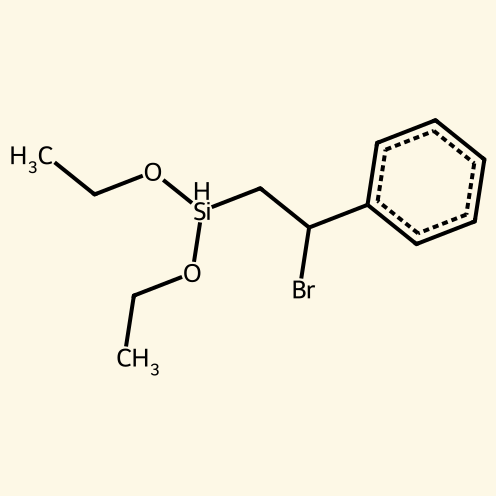 CCO[SiH](CC(Br)c1ccccc1)OCC